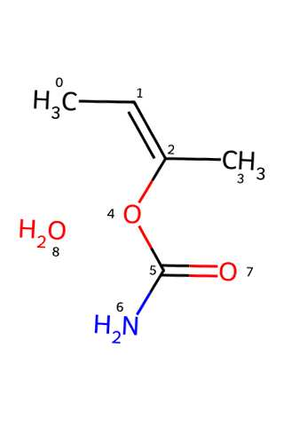 CC=C(C)OC(N)=O.O